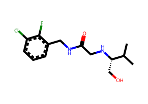 CC(C)[C@H](CO)NCC(=O)NCc1cccc(Cl)c1F